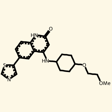 COCCOC1CCC(Nc2cc(=O)[nH]c3ccc(-c4cncs4)cc23)CC1